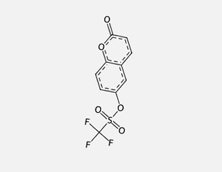 O=c1ccc2cc(OS(=O)(=O)C(F)(F)F)ccc2o1